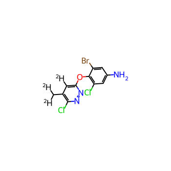 [2H]c1c(Oc2c(Cl)cc(N)cc2Br)nnc(Cl)c1C([2H])[2H]